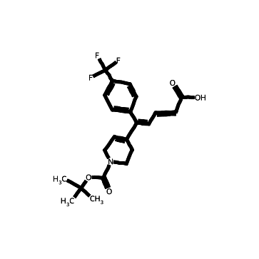 CC(C)(C)OC(=O)N1CC=C(C(=CC=CC(=O)O)c2ccc(C(F)(F)F)cc2)CC1